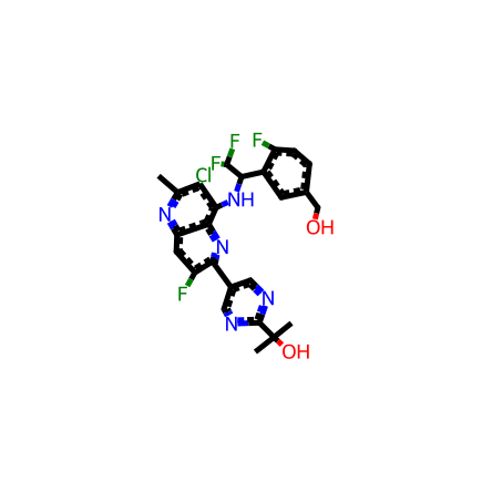 Cc1nc2cc(F)c(-c3cnc(C(C)(C)O)nc3)nc2c(NC(c2cc(CO)ccc2F)C(F)F)c1Cl